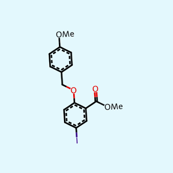 COC(=O)c1cc(I)ccc1OCc1ccc(OC)cc1